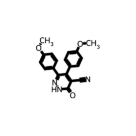 COc1ccc(-c2n[nH]c(=O)c(C#N)c2-c2ccc(OC)cc2)cc1